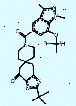 [2H]C([2H])(C)Oc1cc(C(=O)N2CCC3(CC2)CC(=O)c2nc(C(C)(C)C)sc2C3)cc2c(C)nn(C)c12